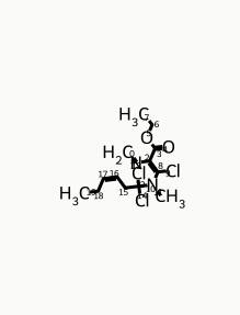 C=N/C(C(=O)OCC)=C(/Cl)N(C)C(Cl)(Cl)C/C=C\CC